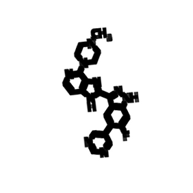 CN1CCN(c2nccc3[nH]c(-c4n[nH]c5cc(F)c(-c6cncnc6)cc45)nc23)CC1